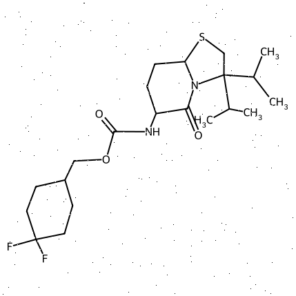 CC(C)C1(C(C)C)CSC2CCC(NC(=O)OCC3CCC(F)(F)CC3)C(=O)N21